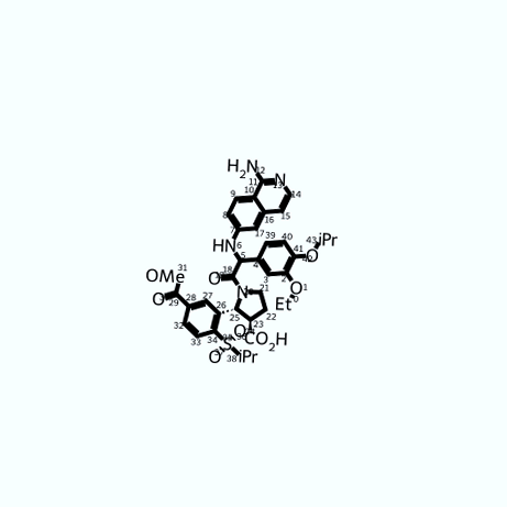 CCOc1cc(C(Nc2ccc3c(N)nccc3c2)C(=O)N2CC[C@@H](C(=O)O)[C@@H]2c2cc(C(=O)OC)ccc2S(=O)(=O)C(C)C)ccc1OC(C)C